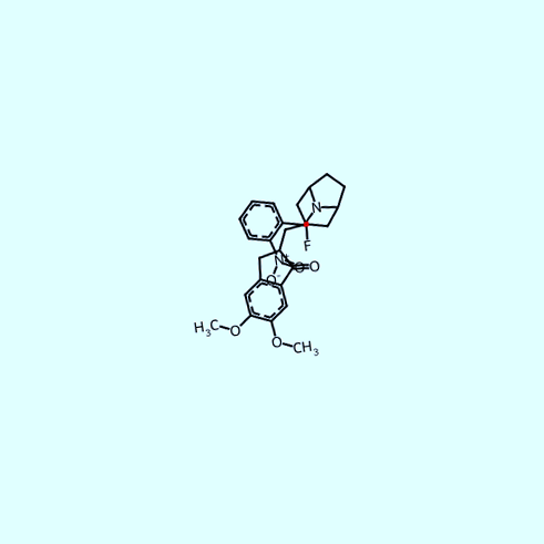 COc1cc2c(cc1OC)C(=O)C(CC1(F)CC3CCC(C1)N3Cc1ccccc1[N+](=O)[O-])C2